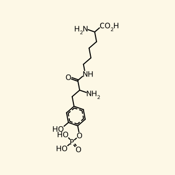 NC(CCCCNC(=O)C(N)Cc1ccc(OP(=O)(O)O)c(O)c1)C(=O)O